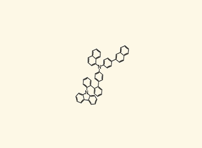 c1ccc(-c2ccccc2-n2c3ccccc3c3ccccc32)c(-c2ccc(N(c3ccc(-c4ccc5ccccc5c4)cc3)c3cccc4ccccc34)cc2)c1